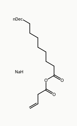 C=CCC(=O)OC(=O)CCCCCCCCCCCCCCCCC.[NaH]